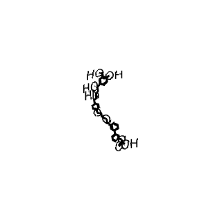 O=C(O)Oc1cccc(-c2cccc(COCCOc3ccc(CCNC[C@H](O)c4ccc(O)c(CO)c4)cc3)c2)c1